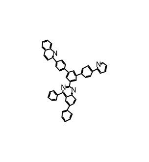 c1ccc(-c2ccc3nc(-c4cc(-c5ccc(-c6ccccn6)cc5)cc(-c5ccc(-c6ccc7ccccc7n6)cc5)c4)nc(-c4ccccc4)c3c2)cc1